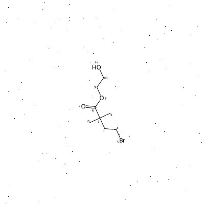 CC(C)(CCBr)C(=O)OCCO